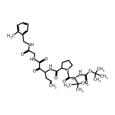 C=CCC(NC(=O)C1CCCN1C(=O)[C@@H](NC(=O)OC(C)(C)C)C(C)(C)C)C(=O)C(=O)NCC(=O)NCc1ccccc1C